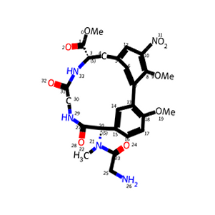 COC(=O)[C@@H]1Cc2cc(c(OC)c([N+](=O)[O-])c2)-c2cc(ccc2OC)[C@H](N(C)C(=O)CN)C(=O)NCC(=O)N1